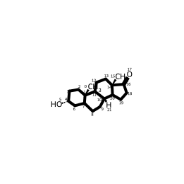 C[C@]12CC[C@@H](O)CC1CC[C@@H]1C2CC[C@]2(C)C(=O)CCC12